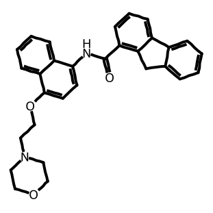 O=C(Nc1ccc(OCCN2CCOCC2)c2ccccc12)c1cccc2c1Cc1ccccc1-2